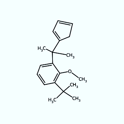 COc1c(C(C)(C)C)cccc1C(C)(C)C1=CC=CC1